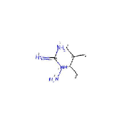 CCC(C)C.N=C(N)NN